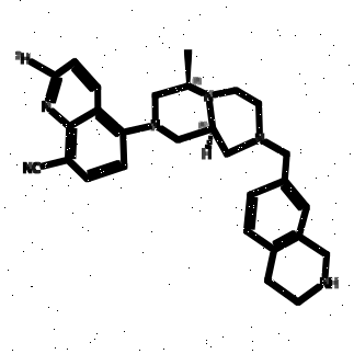 [2H]c1ccc2c(N3C[C@@H]4CN(Cc5ccc6c(c5)CNCC6)CCN4[C@H](C)C3)ccc(C#N)c2n1